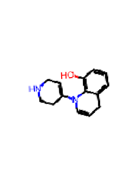 Oc1cccc2c1N(C1=CCNCC1)C=CC2